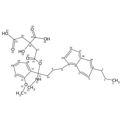 CCCc1ccc2c(CCCC(NC)(OC(=O)CC(O)(CC(=O)O)C(=O)O)c3ccccc3OC)cccc2c1